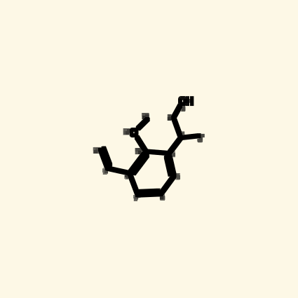 [CH2]C(CO)c1cccc(C=C)c1OC